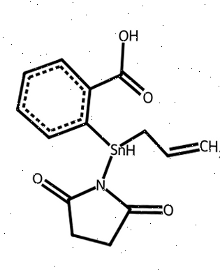 C=C[CH2][SnH]([c]1ccccc1C(=O)O)[N]1C(=O)CCC1=O